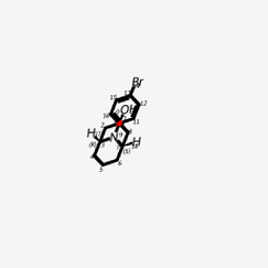 O[C@@H]1C[C@H]2CCC[C@@H](C1)N2c1ccc(Br)cc1